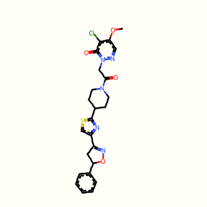 COc1cnn(CC(=O)N2CCC(c3nc(C4=NOC(c5ccccc5)C4)cs3)CC2)c(=O)c1Cl